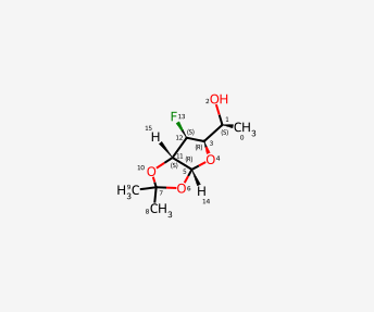 C[C@H](O)[C@H]1O[C@@H]2OC(C)(C)O[C@@H]2[C@H]1F